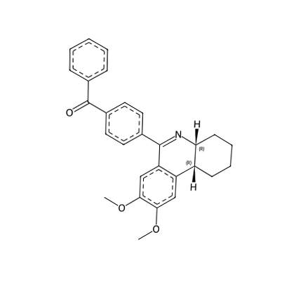 COc1cc2c(cc1OC)[C@H]1CCCC[C@H]1N=C2c1ccc(C(=O)c2ccccc2)cc1